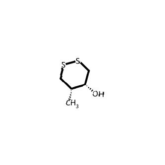 C[C@@H]1CSSC[C@@H]1O